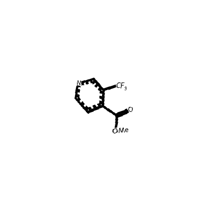 COC(=O)c1ccncc1C(F)(F)F